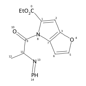 CCOC(=O)c1cc2occc2n1C(=O)C(C)N=P